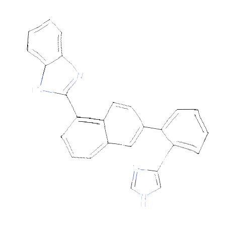 c1ccc(-c2c[nH]cn2)c(-c2ccc3c(-c4nc5ccccc5[nH]4)cccc3c2)c1